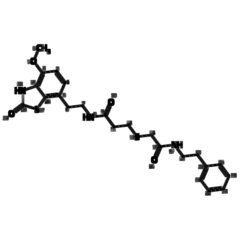 COc1ccc(CCNC(=O)CCSCC(=O)NCCc2ccccc2)c2sc(=O)[nH]c12